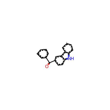 O=C(c1ccccc1)c1ccc2[nH]c3cc[c]cc3c2c1